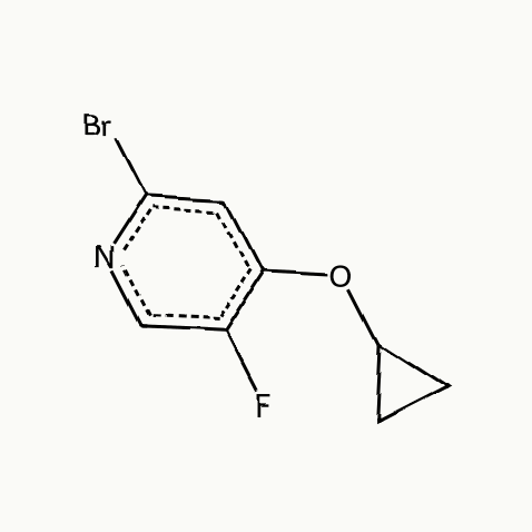 Fc1cnc(Br)cc1OC1CC1